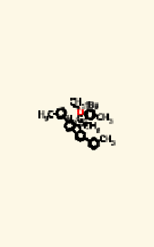 C=CCOc1c(C(C)(C)C)cc(C)cc1[Si](C)(C)C1c2cc(-c3cccc(C)c3)ccc2-c2ccc(-c3cccc(C)c3)cc21